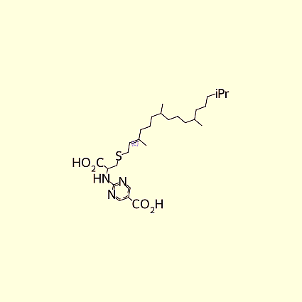 C/C(=C\CSCC(Nc1ncc(C(=O)O)cn1)C(=O)O)CCCC(C)CCCC(C)CCCC(C)C